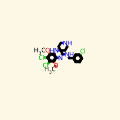 COc1c(Cl)c(Cl)c(OC)c2c1N=C(NCc1cccc(Cl)c1)C1(CCNCC1)N2